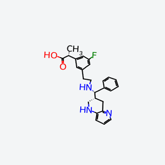 C[C@@H](C(=O)O)c1cc(F)cc(CCN[C@H](c2ccccc2)[C@H]2CNc3cccnc3C2)c1